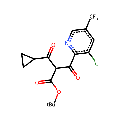 CC(C)(C)OC(=O)C(C(=O)c1ncc(C(F)(F)F)cc1Cl)C(=O)C1CC1